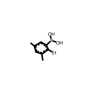 CCc1c(C)cc(C)cc1B(O)O